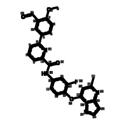 COc1ccc(-c2cccc(C(=O)Nc3ccc(Oc4cc(C)nc5ccnn45)c(F)c3)n2)cc1C=O